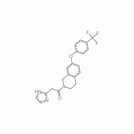 O=C(Cc1ncc[nH]1)N1CCc2ccc(Oc3ccc(C(F)(F)F)cc3)cc2C1